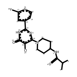 CC(C)C(=O)NC1CCN(c2nc(-c3ccnc(F)c3)[nH]c(=O)c2Cl)CC1